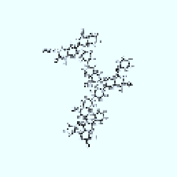 CSc1cc2c(C)c(-c3cc(Cl)c4ncccc4c3)c(-c3cccc(-c4cnc5c(Cl)cc(-c6cc7c(Sc8ccccc8)cc(=O)[nH]c7nc6-c6ccc(-c7cnc8c(Cl)cc(-c9c(-c%10ccccc%10)nc%10[nH]c(=O)ccc%10c9SC9CCCC9)cc8c7)cc6)cc5c4)c3)nc2[nH]c1=O